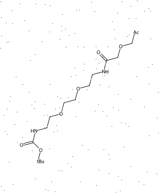 CC(=O)COCC(=O)NCCOCCOCCNC(=O)OC(C)(C)C